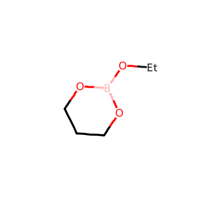 CCOB1OCCCO1